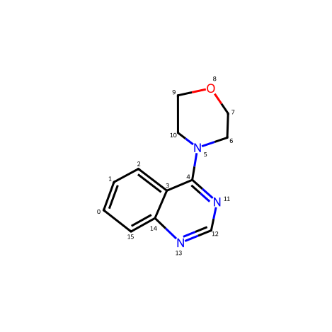 c1ccc2c(N3CCOCC3)ncnc2c1